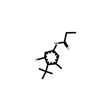 CCC(=O)Nc1cc(C)c(C(C)(C)C)c(F)c1